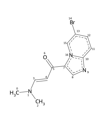 CN(C)/C=C/C(=O)c1cnc2ccc(Br)cn12